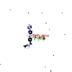 CN1CCN(c2ccc(NC(=O)c3ccc(C4CC4NCC4CC4)cc3)cc2)CC1.O=C(O)C(F)(F)F.O=C(O)C(F)(F)F.O=C(O)C(F)(F)F